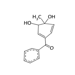 CC1(O)C=CC(C(=O)c2ccccc2)=CC1O